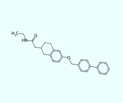 CCNC(=O)CC1CCc2cc(OCc3ccc(-c4ccccc4)cc3)ccc2C1